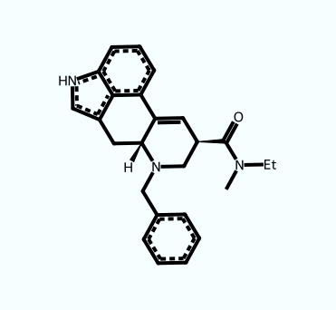 CCN(C)C(=O)[C@@H]1C=C2c3cccc4[nH]cc(c34)C[C@H]2N(Cc2ccccc2)C1